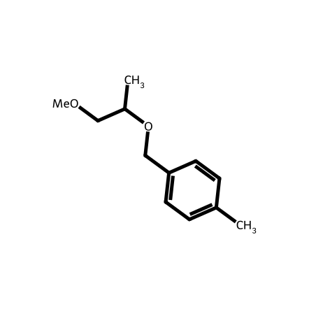 COCC(C)OCc1ccc(C)cc1